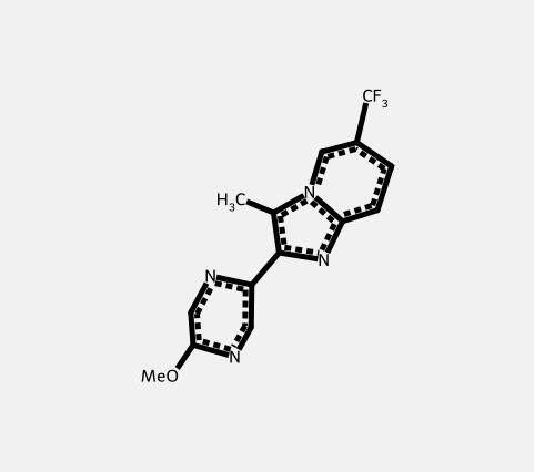 COc1cnc(-c2nc3ccc(C(F)(F)F)cn3c2C)cn1